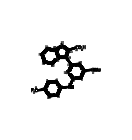 COc1cc(Nc2ccc(C(F)(F)F)cc2)nc(-c2c(C(=O)O)nc3ccccn23)c1